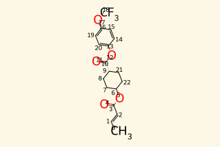 CC=CC(=O)O[C@H]1CC[C@H](C(=O)Oc2ccc(OC(F)(F)F)cc2)CC1